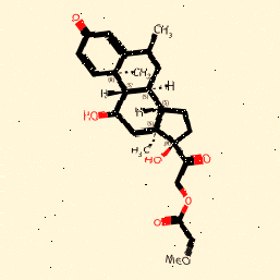 COCC(=O)OCC(=O)[C@@]1(O)CC[C@H]2[C@@H]3CC(C)C4=CC(=O)C=C[C@]4(C)[C@H]3C(O)C[C@@]21C